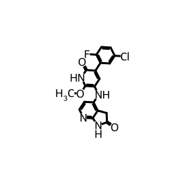 COc1[nH]c(=O)c(-c2cc(Cl)ccc2F)cc1Nc1ccnc2c1CC(=O)N2